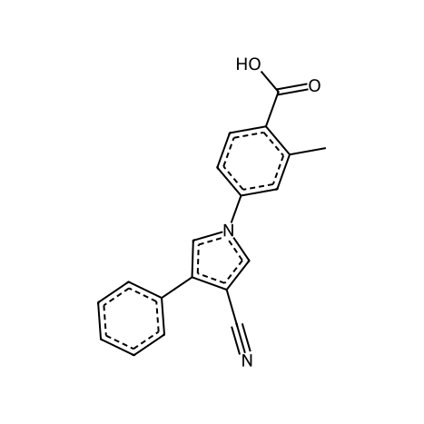 Cc1cc(-n2cc(C#N)c(-c3ccccc3)c2)ccc1C(=O)O